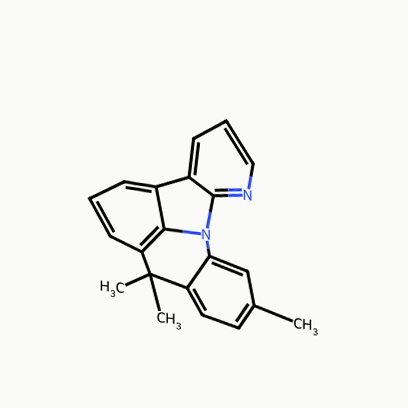 Cc1ccc2c(c1)-n1c3ncccc3c3cccc(c31)C2(C)C